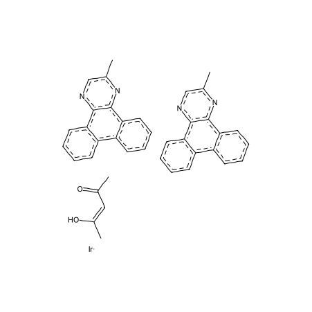 CC(=O)/C=C(/C)O.Cc1cnc2c3ccccc3c3ccccc3c2n1.Cc1cnc2c3ccccc3c3ccccc3c2n1.[Ir]